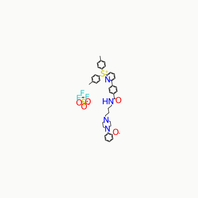 COc1ccccc1N1CCN(CCCCNC(=O)c2ccc(-c3cccc([S+](c4ccc(C)cc4)c4ccc(C)cc4)n3)cc2)CC1.O=S(=O)([O-])C(F)(F)F